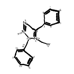 Br[n+]1c(-c2ccccc2)nnn1-c1ccccc1